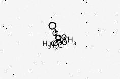 COc1cc(OCC2CCCCCCC2)cc(OC)c1C(C)=O